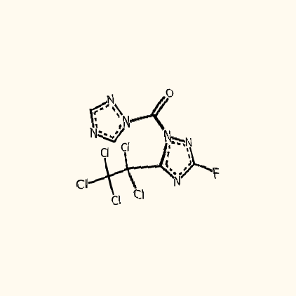 O=C(n1cncn1)n1nc(F)nc1C(Cl)(Cl)C(Cl)(Cl)Cl